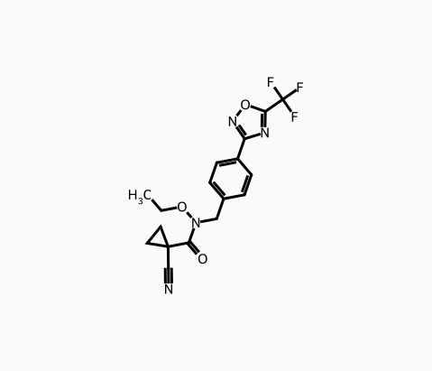 CCON(Cc1ccc(-c2noc(C(F)(F)F)n2)cc1)C(=O)C1(C#N)CC1